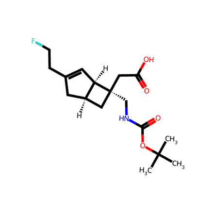 CC(C)(C)OC(=O)NC[C@]1(CC(=O)O)C[C@H]2CC(CCF)=C[C@H]21